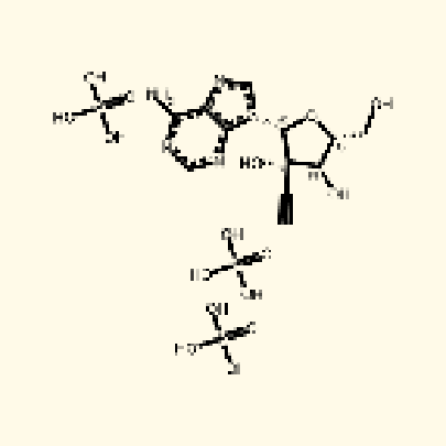 C#C[C@]1(O)[C@H](O)[C@@H](CO)O[C@H]1n1cnc2c(N)ncnc21.O=P(O)(O)O.O=P(O)(O)O.O=P(O)(O)O